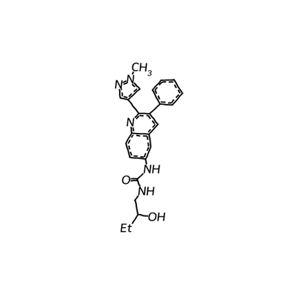 CCC(O)CNC(=O)Nc1ccc2nc(-c3cnn(C)c3)c(-c3ccccc3)cc2c1